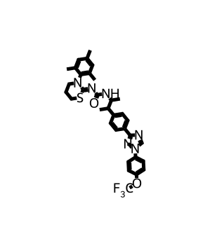 Cc1cc(C)c(N2CCCS/C2=N\C(=O)NC(C)C(C)c2ccc(-c3ncn(-c4ccc(OC(F)(F)F)cc4)n3)cc2)c(C)c1